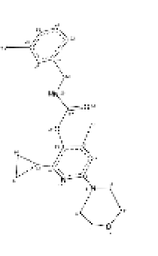 Cc1cc(N2CCOCC2)nc(C2CC2)c1OC(=O)NCc1cccc(F)c1